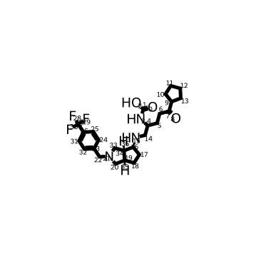 O=C(O)NC(CCC(=O)C1CCCC1)CN[C@H]1CC[C@@H]2CN(Cc3ccc(C(F)(F)F)cc3)C[C@@H]21